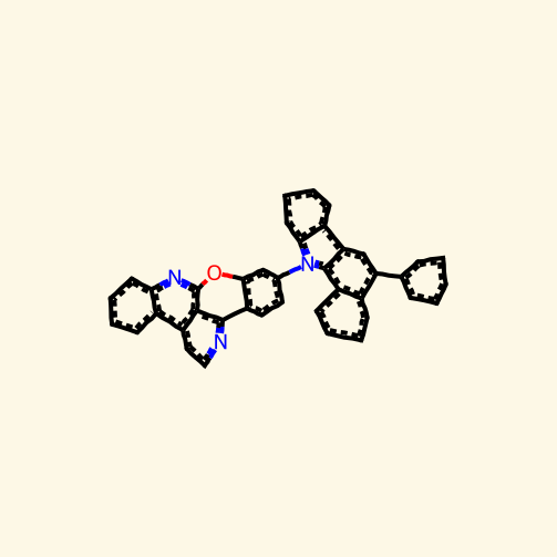 c1ccc(-c2cc3c4ccccc4n(-c4ccc5c(c4)Oc4nc6ccccc6c6ccnc-5c46)c3c3ccccc23)cc1